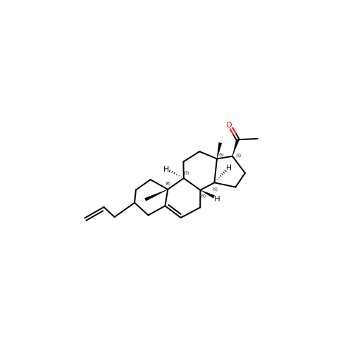 C=CCC1CC[C@@]2(C)C(=CC[C@H]3[C@@H]4CC[C@H](C(C)=O)[C@@]4(C)CC[C@@H]32)C1